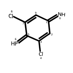 N=C1C=C(Cl)C(=P)C(Cl)=C1